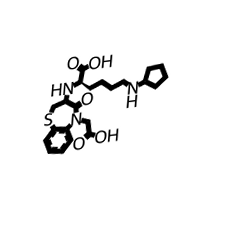 O=C(O)CN1C(=O)C(N[C@H](CCCCNC2CCCC2)C(=O)O)CSc2ccccc21